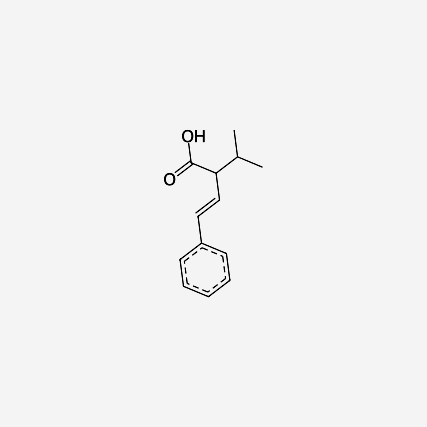 CC(C)C(C=Cc1ccccc1)C(=O)O